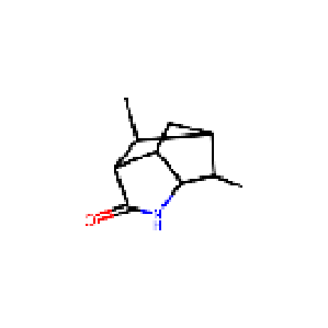 CC1C2CC3C1NC(=O)C3C2C